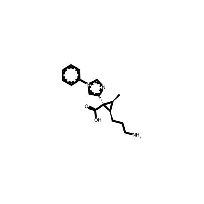 C[C@H]1[C@@H](CCCN)[C@]1(C(=O)O)c1cn(-c2ccccc2)cn1